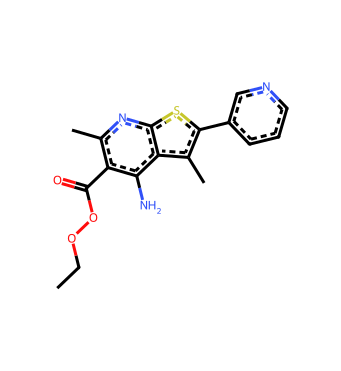 CCOOC(=O)c1c(C)nc2sc(-c3cccnc3)c(C)c2c1N